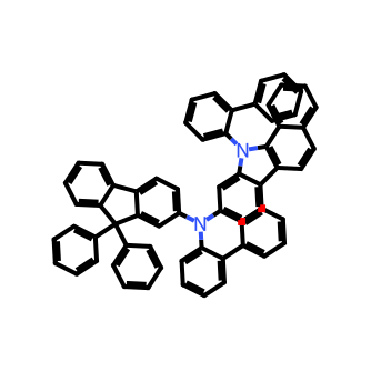 c1ccc(-c2ccccc2N(c2ccc3c(c2)C(c2ccccc2)(c2ccccc2)c2ccccc2-3)c2ccc3c4ccc5ccccc5c4n(-c4ccccc4-c4ccccc4)c3c2)cc1